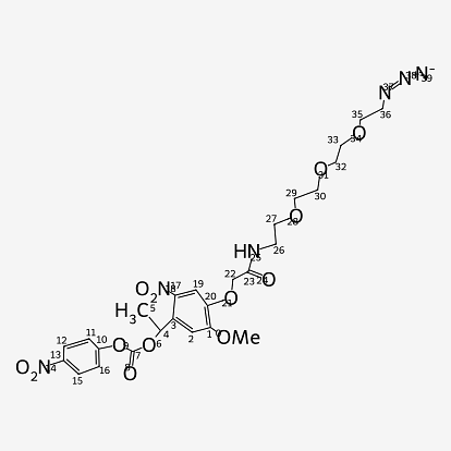 COc1cc(C(C)OC(=O)Oc2ccc([N+](=O)[O-])cc2)c([N+](=O)[O-])cc1OCC(=O)NCCOCCOCCOCCN=[N+]=[N-]